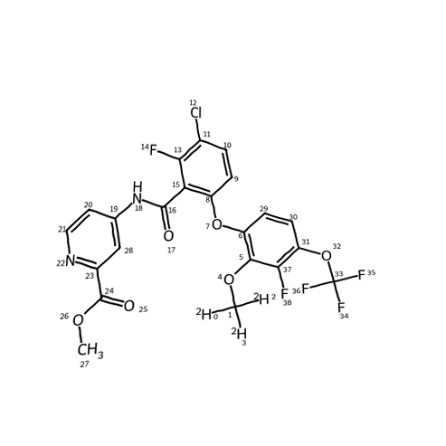 [2H]C([2H])([2H])Oc1c(Oc2ccc(Cl)c(F)c2C(=O)Nc2ccnc(C(=O)OC)c2)ccc(OC(F)(F)F)c1F